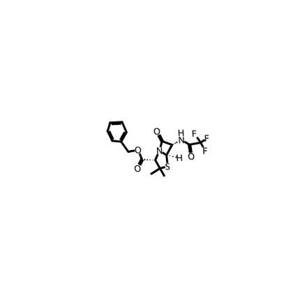 CC1(C)S[C@@H]2[C@@H](NC(=O)C(F)(F)F)C(=O)N2[C@H]1C(=O)OCc1ccccc1